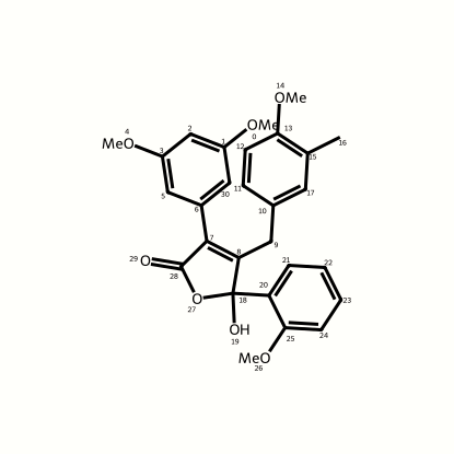 COc1cc(OC)cc(C2=C(Cc3ccc(OC)c(C)c3)C(O)(c3ccccc3OC)OC2=O)c1